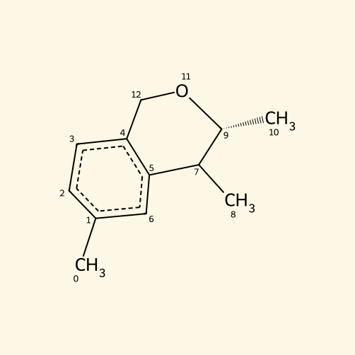 Cc1ccc2c(c1)C(C)[C@@H](C)OC2